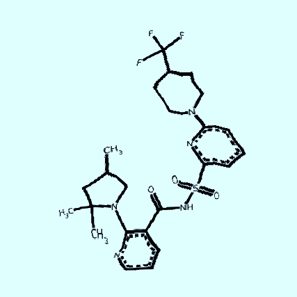 CC1CN(c2ncccc2C(=O)NS(=O)(=O)c2cccc(N3CCC(C(F)(F)F)CC3)n2)C(C)(C)C1